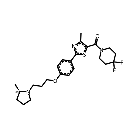 Cc1nc(-c2ccc(OCCCN3CCC[C@H]3C)cc2)sc1C(=O)N1CCC(F)(F)CC1